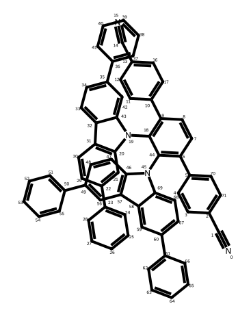 N#Cc1ccc(-c2ccc(-c3ccc(C#N)cc3)c(-n3c4cc(-c5ccccc5)ccc4c4ccc(-c5ccccc5)cc43)c2-n2c3ccc(-c4ccccc4)cc3c3cc(-c4ccccc4)ccc32)cc1